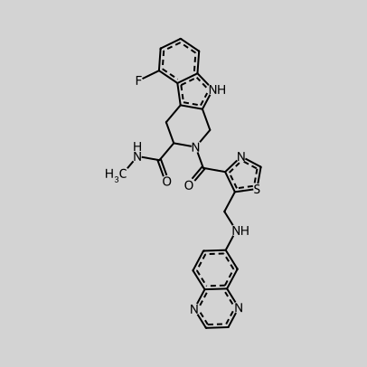 CNC(=O)C1Cc2c([nH]c3cccc(F)c23)CN1C(=O)c1ncsc1CNc1ccc2nccnc2c1